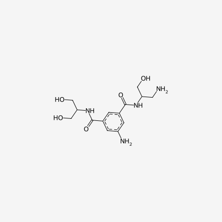 NCC(CO)NC(=O)c1cc(N)cc(C(=O)NC(CO)CO)c1